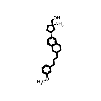 COc1cccc(CCCC2CCc3cc([C@H]4CC[C@](N)(CO)C4)ccc3C2)c1